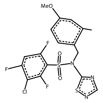 COc1ccc(CN(c2ncns2)S(=O)(=O)c2c(F)cc(F)c(Cl)c2F)c(C)c1